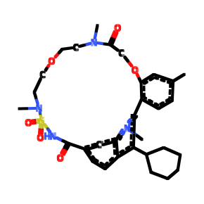 Cc1ccc2c(c1)OCC(=O)N(C)CCOCCN(C)S(=O)(=O)NC(=O)c1ccc3c(C4CCCCC4)c-2n(C)c3c1